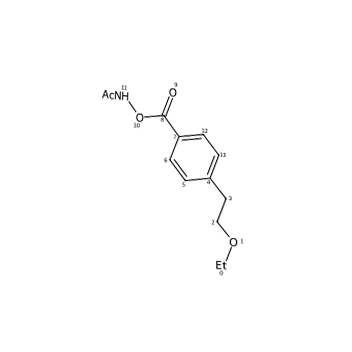 CCOCCc1ccc(C(=O)ONC(C)=O)cc1